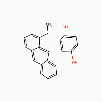 CCc1cccc2cc3ccccc3cc12.Oc1ccc(O)cc1